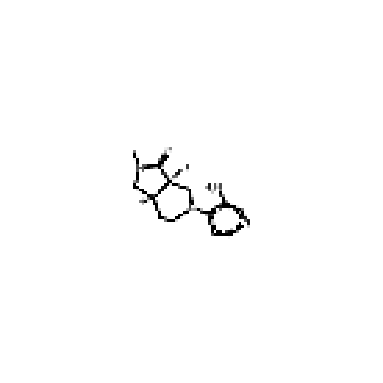 CN1C[C@H]2CCN(c3ccncc3N)C[C@H]2C1=O